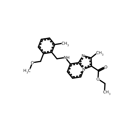 CCOC(=O)c1c(C)nc2c(NCc3c(C)cccc3COC)cccn12